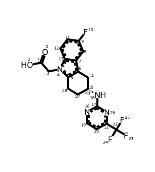 O=C(O)Cn1c2c(c3cc(F)ccc31)C[C@H](Nc1nccc(C(F)(F)F)n1)CC2